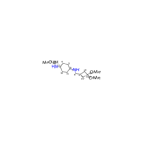 COBNC1CCC(NCC2CC(OC)(OC)C2)CC1